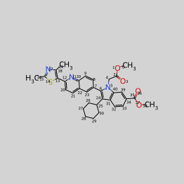 COC(=O)Cn1c(-c2ccc3nc(-c4sc(C)nc4C)ccc3c2)c(C2CCCCC2)c2ccc(C(=O)OC)cc21